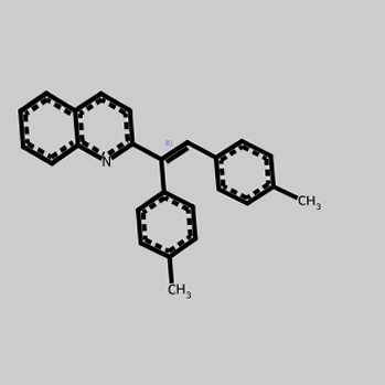 Cc1ccc(/C=C(\c2ccc(C)cc2)c2ccc3ccccc3n2)cc1